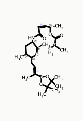 C/C(=C\C[C@@H]1O[C@H](C)[C@H](NC(=O)/C=C\[C@H](C)OC(=O)N(C)C)C[C@@H]1C)B1OC(C)(C)C(C)(C)O1